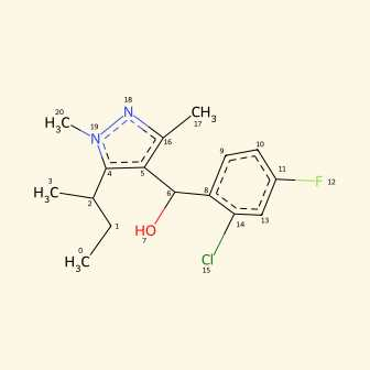 CCC(C)c1c(C(O)c2ccc(F)cc2Cl)c(C)nn1C